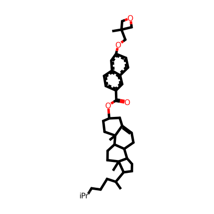 CC(C)CCCC(C)C1CCC2C3CC=C4CC(OC(=O)c5ccc6cc(OCC7(C)COC7)ccc6c5)CCC4(C)C3CCC12C